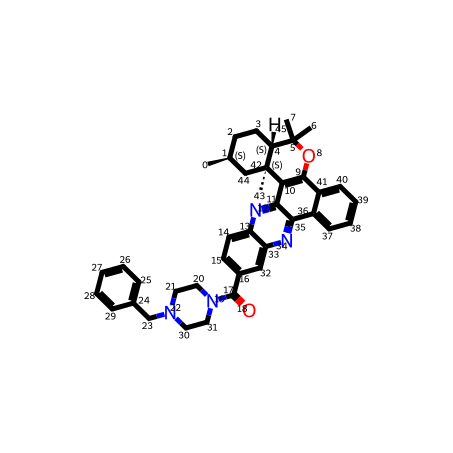 C[C@H]1CC[C@@H]2C(C)(C)Oc3c(c4nc5ccc(C(=O)N6CCN(Cc7ccccc7)CC6)cc5nc4c4ccccc34)[C@@]2(C)C1